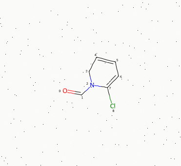 O=CN1CC=CC=C1Cl